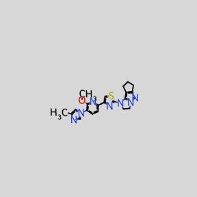 COc1nc(-c2csc(N3CCn4nc5c(c43)CCC5)n2)ccc1-n1cnc(C)c1